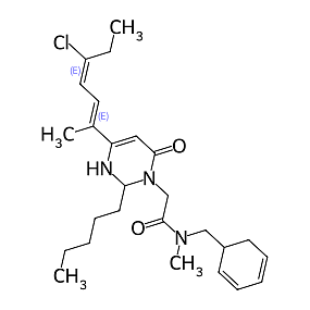 CCCCCC1NC(/C(C)=C/C=C(/Cl)CC)=CC(=O)N1CC(=O)N(C)CC1C=CC=CC1